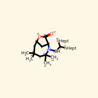 CCCCCCCC(BN1C2CC(CC(C)(C)CC1(C)C)OC2=O)CCCCCCC